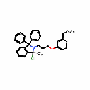 CNCc1cccc(OCCCN(C(C)(c2ccccc2)c2ccccc2)C(Cl)(c2ccccc2)C(F)(F)F)c1